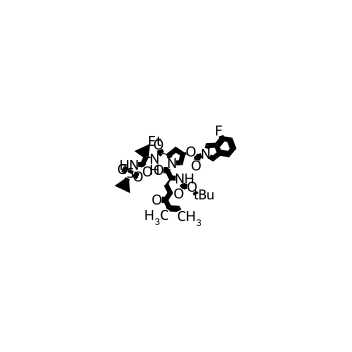 CC=C(C)C(=O)CC[C@H](NC(=O)OC(C)(C)C)C(=O)N1C[C@H](OC(=O)N2Cc3cccc(F)c3C2)C[C@H]1C(=O)N[C@]1(C(=O)NS(=O)(=O)C2CC2)C[C@H]1CC